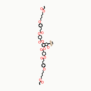 C=CC(=O)OCCCCCCOc1ccc(CCC(=O)OC2CCC(C(=O)Oc3ccc(OC(=O)C4CCC(OC(=O)CCc5ccc(OCCCCCCOC(=O)C=C)cc5)CC4)c4c3CC(=C3SCCS3)C4=O)CC2)cc1